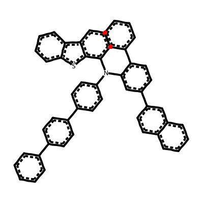 c1ccc(-c2ccc(-c3ccc(N(c4cc(-c5ccc6ccccc6c5)ccc4-c4ccccc4)c4cccc5c4sc4ccccc45)cc3)cc2)cc1